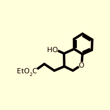 CCOC(=O)CCC1COc2ccccc2C1O